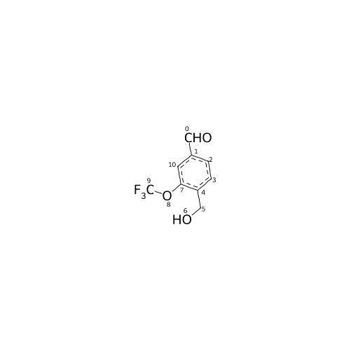 O=Cc1ccc(CO)c(OC(F)(F)F)c1